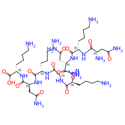 NCCCC[C@H](NC(=O)[C@H](CC(N)=O)NC(=O)[C@H](CCCCN)NC(=O)[C@H](CC(N)=O)NC(=O)[C@H](CCCCN)NC(=O)[C@H](CC(N)=O)NC(=O)[C@H](CCCCN)NC(=O)[C@@H](N)CC(N)=O)C(=O)O